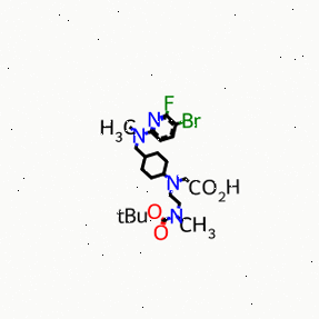 CN(CCN(CC(=O)O)C1CCC(CN(C)c2ccc(Br)c(F)n2)CC1)C(=O)OC(C)(C)C